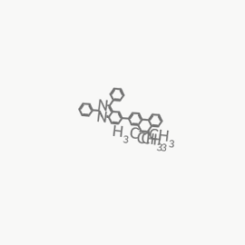 CC1(C)c2ccccc2-c2ccc(-c3ccc4nc(-c5ccccc5)nc(-c5ccccc5)c4c3)cc2C1(C)C